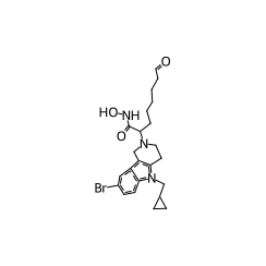 O=CCCCCCC(C(=O)NO)N1CCc2c(c3cc(Br)ccc3n2CC2CC2)C1